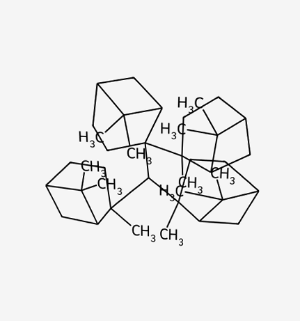 CC1(C)C2CCC(C)(C(C3(C)CCC4CC3C4(C)C)C3(C4(C)CCC5CC4C5(C)C)CCC4CC3C4(C)C)C1C2